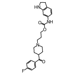 O=C(Nc1ccc2c(c1)NCC2)OCCCN1CCC(C(=O)c2ccc(F)cc2)CC1